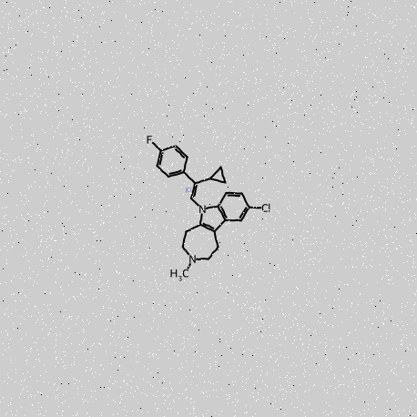 CN1CCc2c(n(/C=C(/c3ccc(F)cc3)C3CC3)c3ccc(Cl)cc23)CC1